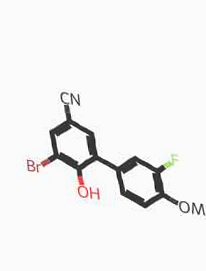 COc1ccc(-c2cc(C#N)cc(Br)c2O)cc1F